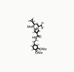 CNC(/C=C(/C(F)F)n1cc(C(=O)NCCc2ccc(OC)c(OC)c2)cn1)=C1CC1